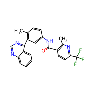 Cc1ccc(NC(=O)c2ccc(C(F)(F)F)nc2C)cc1-c1ncnc2ccccc12